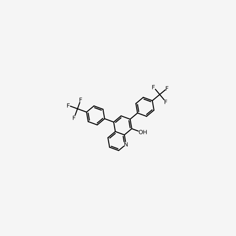 Oc1c(-c2ccc(C(F)(F)F)cc2)cc(-c2ccc(C(F)(F)F)cc2)c2cccnc12